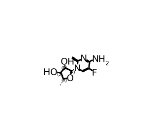 C=C1N=C(N)C(F)=CN1[C@@H]1O[C@H](C)[C@@H](O)[C@H]1O